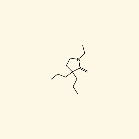 C=C1N(CC)CCC1(CCC)CCC